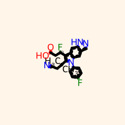 CC(C)(CC#N)c1c([C@H](F)CC(=O)O)c2cc3[nH]ncc3cc2n1-c1ccc(F)cc1